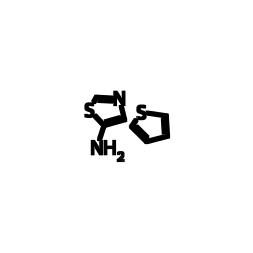 Nc1cncs1.c1ccsc1